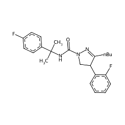 CCCCC1=NN(C(=O)NC(C)(C)c2ccc(F)cc2)CC1c1ccccc1F